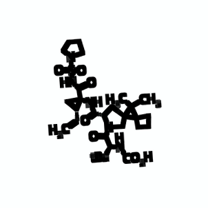 C=C[C@@H]1C[C@]1(NC(=O)[C@@H]1C[C@@]2(CN1C(=O)[C@@H](NC(=O)O)C(C)(C)C)C(C)(C)C21CCC1)C(=O)NS(=O)(=O)N1CCCC1